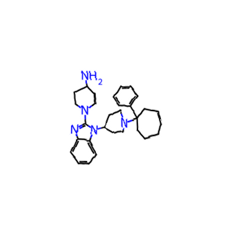 NC1CCN(c2nc3ccccc3n2C2CCN(C3(c4ccccc4)CCCCCC3)CC2)CC1